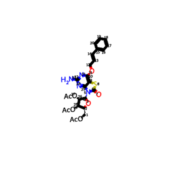 CC(=O)OC[C@H]1O[C@@H](n2c(=O)sc3c(OCC=Cc4ccccc4)nc(N)nc32)[C@H](OC(C)=O)[C@@H]1OC(C)=O